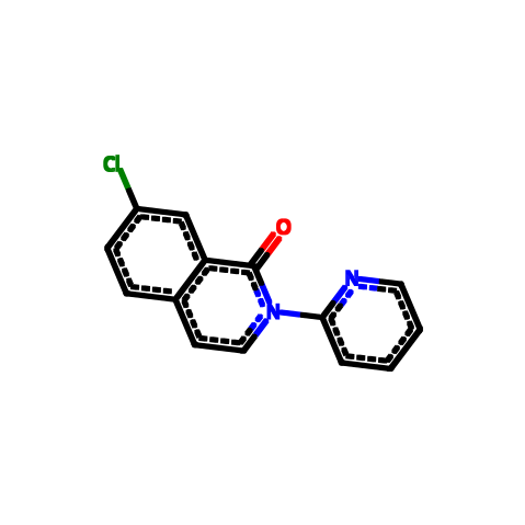 O=c1c2cc(Cl)ccc2ccn1-c1ccccn1